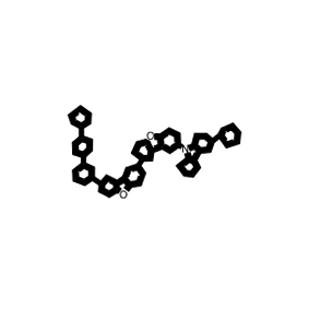 c1ccc(-c2ccc(-c3cccc(-c4ccc5oc6ccc(-c7ccc8oc9ccc(-n%10c%11ccccc%11c%11cc(-c%12ccccc%12)ccc%11%10)cc9c8c7)cc6c5c4)c3)cc2)cc1